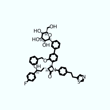 O=C1[C@H](CC[C@H](O)c2ccc(F)cc2)[C@@H](c2ccc(-c3cccc([C@@H]4O[C@H](CO)[C@@H](O)[C@H](O)[C@H]4O)c3)cc2OCc2ccccc2)N1c1ccc(CCc2cncs2)cc1